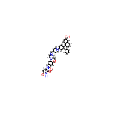 O=C1CC[C@H](N2Cc3cc4c(cc3C2=O)OC[C@@H]2CN(CC3CCN(c5ccc([C@@H]6c7ccc(O)cc7CC[C@@H]6c6ccccc6)cc5)CC3)CCN42)C(=O)N1